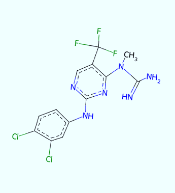 CN(C(=N)N)c1nc(Nc2ccc(Cl)c(Cl)c2)ncc1C(F)(F)F